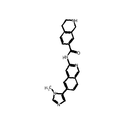 Cn1cncc1-c1ccc2cnc(NC(=O)c3ccc4c(c3)CNCC4)cc2c1